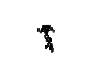 C[C@@H]1CN(c2ccc3nc(-c4cc(F)c5nc(CF)cn5c4)ncc3c2)C[C@H](C)N1C(=O)O